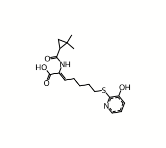 CC1(C)CC1C(=O)NC(=CCCCCSc1ncccc1O)C(=O)O